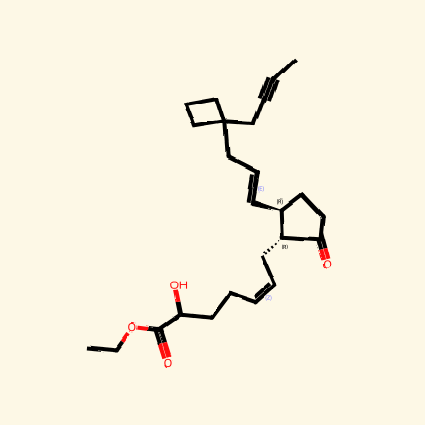 CC#CCC1(C/C=C/[C@H]2CCC(=O)[C@@H]2C/C=C\CCC(O)C(=O)OCC)CCC1